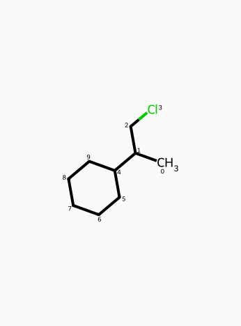 CC(CCl)C1CCCCC1